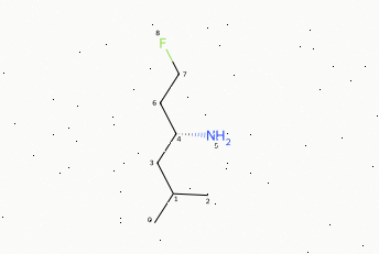 CC(C)C[C@@H](N)CCF